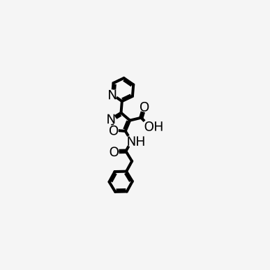 O=C(Cc1ccccc1)Nc1onc(-c2ccccn2)c1C(=O)O